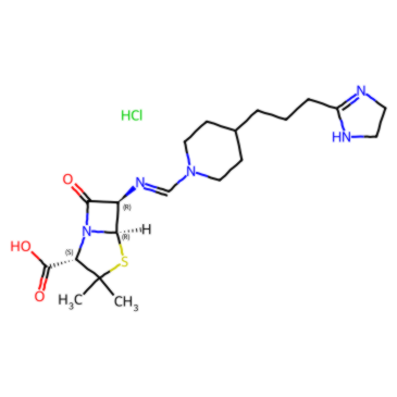 CC1(C)S[C@@H]2[C@H](N=CN3CCC(CCCC4=NCCN4)CC3)C(=O)N2[C@H]1C(=O)O.Cl